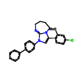 COc1cc(Cl)ccc1C1=CN(c2ccc(-c3ccccc3)cc2)C2=NCCCCN12